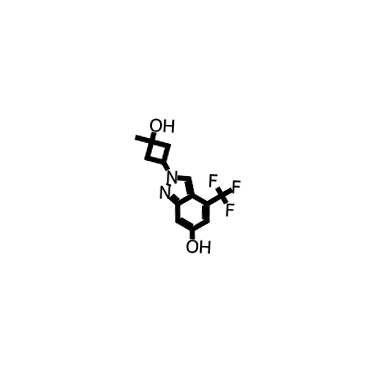 CC1(O)CC(n2cc3c(C(F)(F)F)cc(O)cc3n2)C1